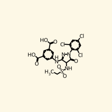 CCS(=O)(=O)NC1C(=O)N(c2c(Cl)cc(Cl)cc2Cl)N=C1Nc1cc(C(=O)O)cc(C(=O)O)c1